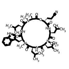 CC(C)C[C@@H]1NC(=O)[C@H](Cc2c[nH]c3ccccc23)N(C)C(=O)[C@H](CC(C)C)NC(=O)[C@H](CC(C)C)N(C)C(=O)[C@H](CC(C)C)NC(=O)[C@@H](CCC#N)OC(=O)[C@H](C)N(C)C1=O